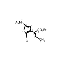 C/C=C(\C(=O)OCC)c1nc(NC(C)=O)sc1Cl